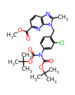 COC(=O)c1ccc2nc(C)n(Cc3ccc(N(C(=O)OC(C)(C)C)C(=O)OC(C)(C)C)cc3Cl)c2n1